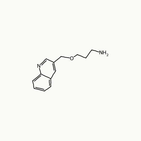 NCCCOCc1cnc2ccccc2c1